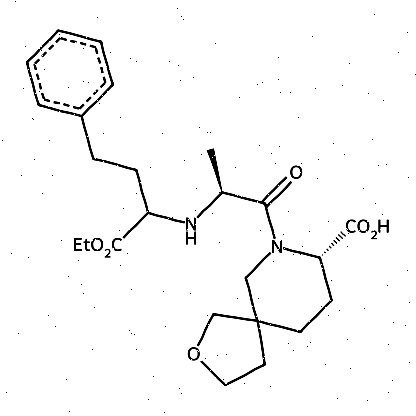 CCOC(=O)C(CCc1ccccc1)N[C@@H](C)C(=O)N1CC2(CCOC2)CC[C@H]1C(=O)O